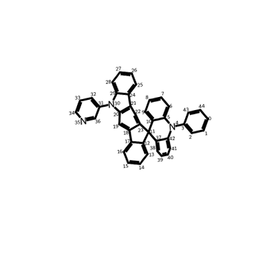 c1ccc(N2c3ccccc3C3(c4ccccc4-c4cc5c(cc43)c3ccccc3n5-c3cccnc3)c3ccccc32)cc1